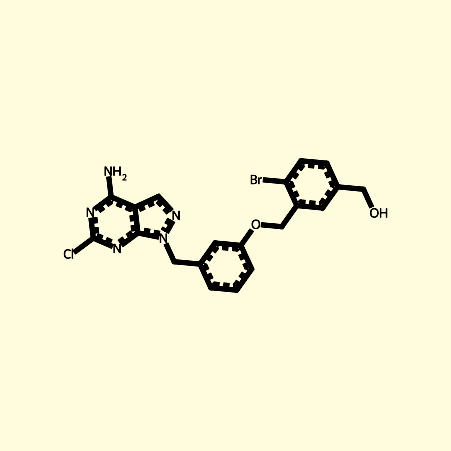 Nc1nc(Cl)nc2c1cnn2Cc1cccc(OCc2cc(CO)ccc2Br)c1